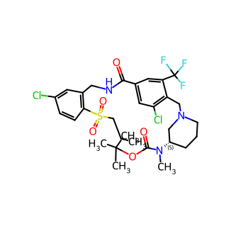 CCCS(=O)(=O)c1ccc(Cl)cc1CNC(=O)c1cc(Cl)c(CN2CCC[C@H](N(C)C(=O)OC(C)(C)C)C2)c(C(F)(F)F)c1